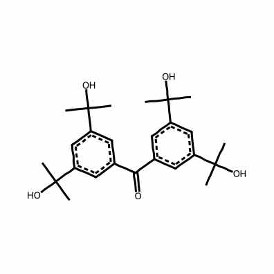 CC(C)(O)c1cc(C(=O)c2cc(C(C)(C)O)cc(C(C)(C)O)c2)cc(C(C)(C)O)c1